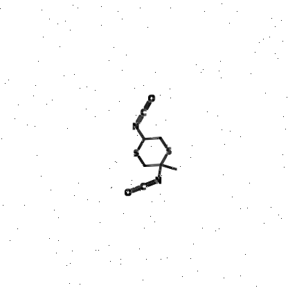 CC1(N=C=O)CSC(N=C=O)CS1